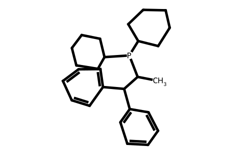 CC(C(c1ccccc1)c1ccccc1)P(C1CCCCC1)C1CCCCC1